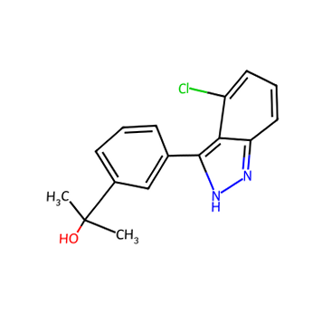 CC(C)(O)c1cccc(-c2[nH]nc3cccc(Cl)c23)c1